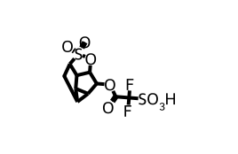 O=C(OC1C2OS(=O)(=O)C3CC4C1C4C23)C(F)(F)S(=O)(=O)O